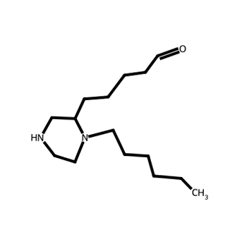 CCCCCCN1CCNCC1CCCCC=O